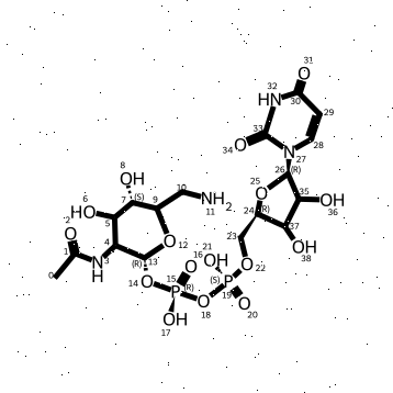 CC(=O)NC1C(O)[C@H](O)C(CN)O[C@@H]1O[P@@](=O)(O)O[P@@](=O)(O)OC[C@H]1O[C@@H](n2ccc(=O)[nH]c2=O)C(O)C1O